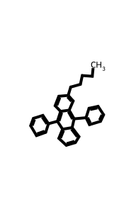 CCCCCc1ccc2c(-c3ccccc3)c3ccccc3c(-c3ccccc3)c2c1